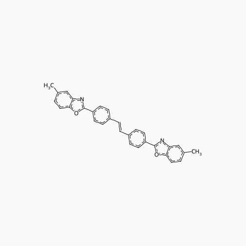 Cc1ccc2oc(-c3ccc(C=Cc4ccc(-c5nc6cc(C)ccc6o5)cc4)cc3)nc2c1